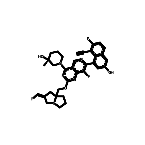 C#Cc1c(F)ccc2cc(O)cc(-c3ncc4c(N5CCC[C@@](C)(O)C5)nc(OCC56CCCN5C/C(=C\F)C6)nc4c3F)c12